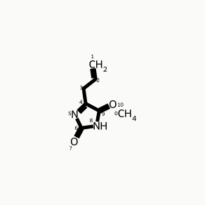 C.C=CCC1=NC(=O)NC1=O